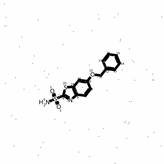 NS(=O)(=O)c1nc2ccc(OCc3ccccc3)cc2s1